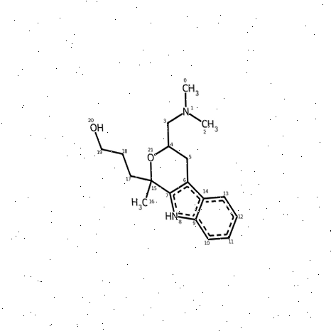 CN(C)CC1Cc2c([nH]c3ccccc23)C(C)(CCCO)O1